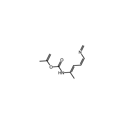 C=N/C=C\C=C(/C)NC(=O)OC(=C)C